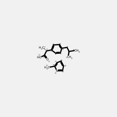 CC(C)Cc1ccc([C@@H](C)C(=O)O)cc1.Cc1ccccn1